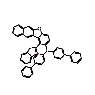 c1ccc(-c2ccc(N(c3ccc(-c4ccccc4)cc3)c3ccc4oc5cc6ccccc6cc5c4c3-c3nc4ccccc4o3)cc2)cc1